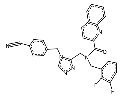 N#Cc1ccc(Cn2cnnc2CN(Cc2cccc(F)c2F)C(=O)c2ccc3ccccc3n2)cc1